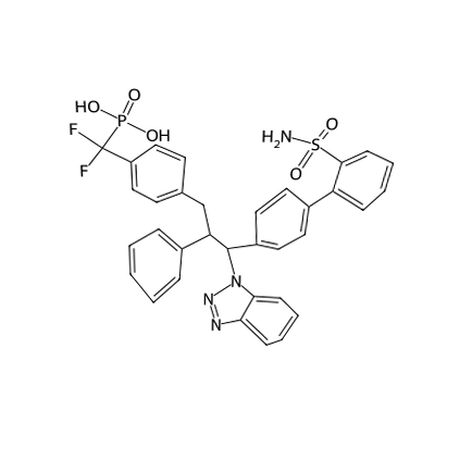 NS(=O)(=O)c1ccccc1-c1ccc(C(C(Cc2ccc(C(F)(F)P(=O)(O)O)cc2)c2ccccc2)n2nnc3ccccc32)cc1